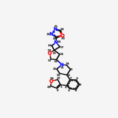 C1=C(c2ccccc2C2CCN(C3COC4(C3)CN(c3nnco3)C4)CC2)COC1